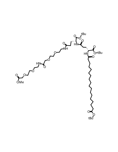 COC(=O)COCCOCCNC(=O)COCCOCCNC(=O)CC[C@@H](NC(=O)CC[C@@H](NC(=O)CCCCCCCCCCCCCCCCC(=O)OC(C)(C)C)C(=O)OC(C)(C)C)C(=O)OC(C)(C)C